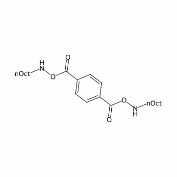 CCCCCCCCNOC(=O)c1ccc(C(=O)ONCCCCCCCC)cc1